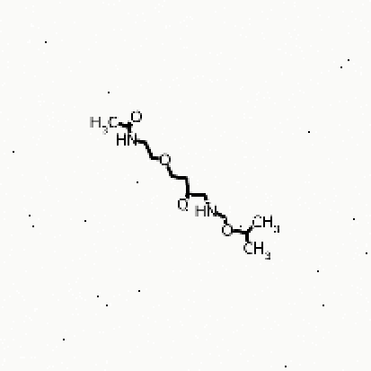 CC(=O)NCCOCCC(=O)CNCOC(C)C